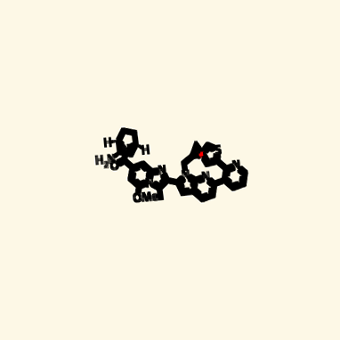 COc1cc(C(=O)N2[C@H]3CC[C@@H]2[C@H](N)C3)cc2nc(-c3cc4ccc(-c5cccnc5-c5cncs5)nc4n3CC3CC3)c(C)n12